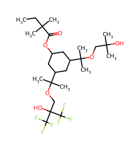 CCC(C)(C)C(=O)OC1CC(C(C)(C)OCC(C)(C)O)CC(C(C)(C)OCC(O)(C(F)(F)F)C(F)(F)F)C1